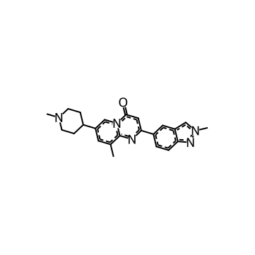 Cc1cc(C2CCN(C)CC2)cn2c(=O)cc(-c3ccc4nn(C)cc4c3)nc12